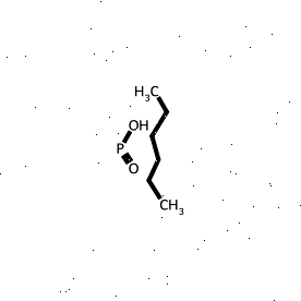 CCCCCC.O=PO